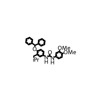 COc1ccc(NC(=O)Nc2ccc(OC(c3ccccc3)c3ccccc3)c(CC(C)C)c2)cc1OC